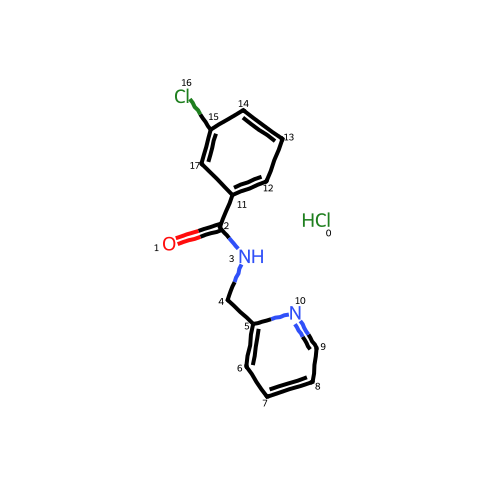 Cl.O=C(NCc1ccccn1)c1cccc(Cl)c1